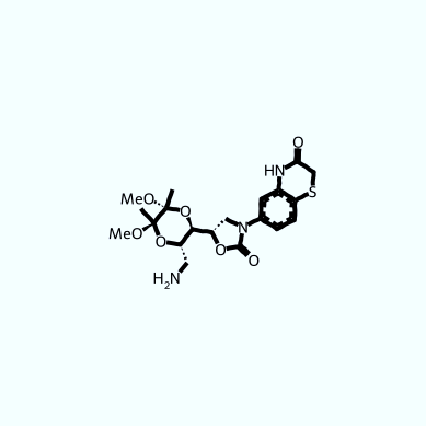 CO[C@]1(C)O[C@@H]([C@@H]2CN(c3ccc4c(c3)NC(=O)CS4)C(=O)O2)[C@H](CN)O[C@@]1(C)OC